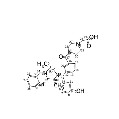 C[C@@H]1CN(C(c2cccc(O)c2)c2cccc(C(=O)N3CCN(CC(=O)O)CC3)c2)[C@H](C)CN1Cc1ccccc1F